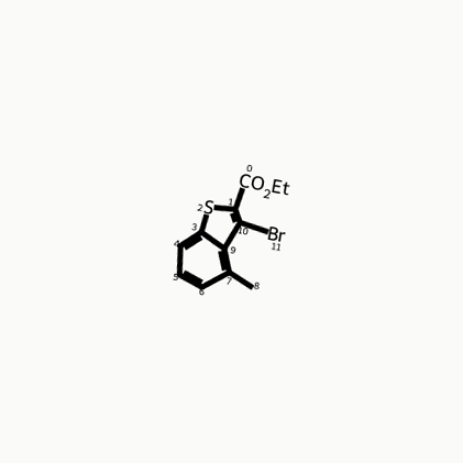 CCOC(=O)c1sc2cccc(C)c2c1Br